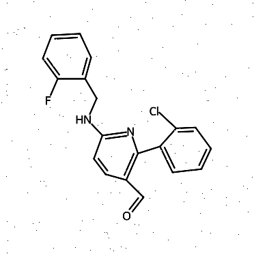 O=Cc1ccc(NCc2ccccc2F)nc1-c1ccccc1Cl